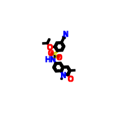 Cc1cc2cc(NS(=O)(=O)c3ccc(C#N)cc3OC(C)C)ccc2n(C)c1=O